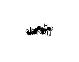 CS(=O)(=O)c1nc(-c2cccc(-c3ccn4c(=O)c(CNC[C@@H]5CCC(=O)N5)cnc4c3)c2Cl)ccc1CNC[C@@H]1CCC(=O)N1